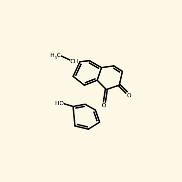 CC.O=C1C=Cc2ccccc2C1=O.Oc1ccccc1